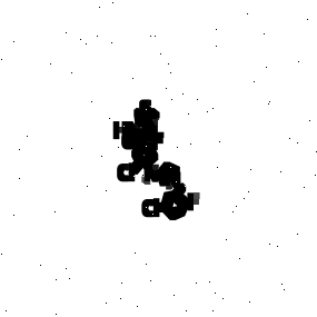 CN(c1cc(F)c(S(=O)(=O)Nc2cscn2)cc1Cl)[C@H]1CCN(Cc2cc(Cl)ccc2F)C1